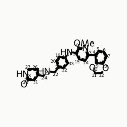 COc1nc(-c2cccc3c2OCCO3)ccc1Nc1ccc(CNCc2cc[nH]c(=O)c2)cc1